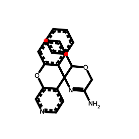 NC1=NC2(c3ccccc3Oc3cnccc32)C(c2ccccc2)OC1